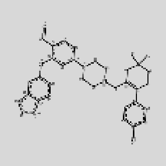 CC1(C)CCC(c2ccc(Cl)cc2)=C(CN2CCN(c3ccc(C=O)c(Oc4cnc5[nH]ccc5c4)c3)CC2)C1